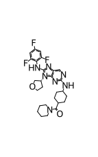 O=C(C1CCC(Nc2ncc3nc(Nc4c(F)cc(F)cc4F)n([C@@H]4CCOC4)c3n2)CC1)N1CCCCC1